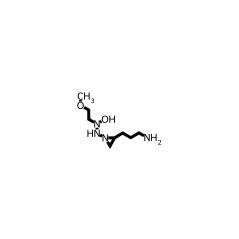 COCCN(O)NN1CC1CCCN